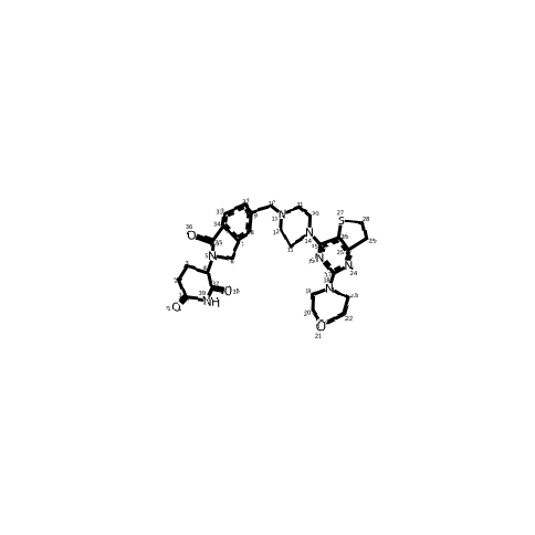 O=C1CCC(N2Cc3cc(CN4CCN(c5nc(N6CCOCC6)nc6c5SCC6)CC4)ccc3C2=O)C(=O)N1